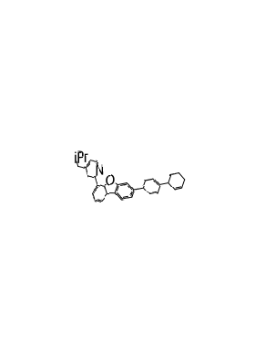 CC(C)CC1=CC=NC(C2=CC=CC3c4ccc(C5C=CC(C6C=CCCC6)=CC5)cc4OC23)C1